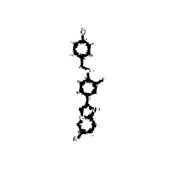 Cc1cc(-c2cn3cc(Br)ccc3n2)ccc1OCc1ccc(Cl)cc1